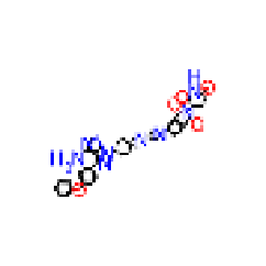 Nc1ncnc2c1c(-c1ccc(Oc3ccccc3)cc1)nn2C1CCC2(CC1)CN(C1CN(c3ccc4c(c3)C(=O)N([C@@H]3CCC(=O)NC3=O)C4=O)C1)C2